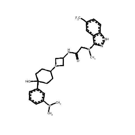 CN(C)c1cccc(C2(O)CCC(N3CC(NC(=O)CN(C)c4n[nH]c5ccc(C(F)(F)F)cc45)C3)CC2)c1